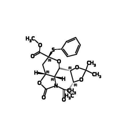 CC[C@H]1OC(C)(C)O[C@H]1C1O[C@@](Sc2ccccc2)(C(=O)OC)C[C@H]2OC(=O)N(C(C)=O)[C@@H]12